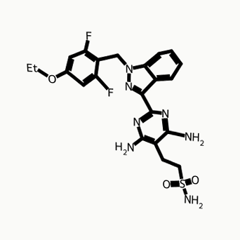 CCOc1cc(F)c(Cn2nc(-c3nc(N)c(CCS(N)(=O)=O)c(N)n3)c3ccccc32)c(F)c1